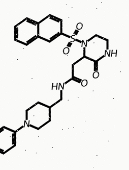 O=C(CC1C(=O)NCCN1S(=O)(=O)c1ccc2ccccc2c1)NCC1CCN(c2ccncc2)CC1